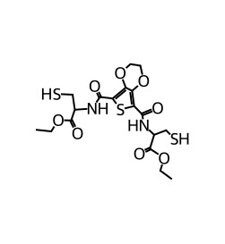 CCOC(=O)C(CS)NC(=O)c1sc(C(=O)NC(CS)C(=O)OCC)c2c1OCCO2